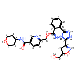 O=C(NC1CCOCC1)c1ccc(COc2nn3c(C4=NOC(CO)C4)nnc3c3ccccc23)nc1